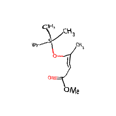 COC(=O)C=C(C)O[Si](C)(C)C(C)C